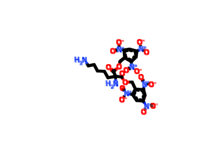 NCCCCCC(N)(C(=O)OCc1c([N+](=O)[O-])cc([N+](=O)[O-])cc1[N+](=O)[O-])C(=O)OCc1c([N+](=O)[O-])cc([N+](=O)[O-])cc1[N+](=O)[O-]